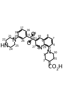 O=C(O)C1CCN(c2cccc3cc(S(=O)(=O)c4cccc(N5CCNCC5)c4)cnc23)CC1